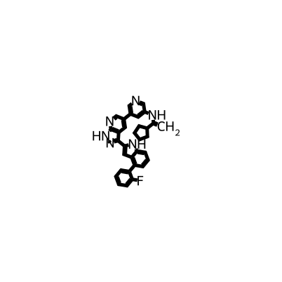 C=C(Nc1cncc(-c2cnc3[nH]nc(-c4cc5c(-c6ccccc6F)cccc5[nH]4)c3c2)c1)C1CCCC1